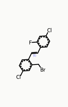 Fc1cc(Cl)ccc1/C=C/c1ccc(Cl)cc1CBr